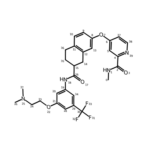 CNC(=O)c1cc(Oc2ccc3c(c2)CC(C(=O)Nc2cc(OCCN(C)C)cc(C(F)(F)F)c2)CC3)ccn1